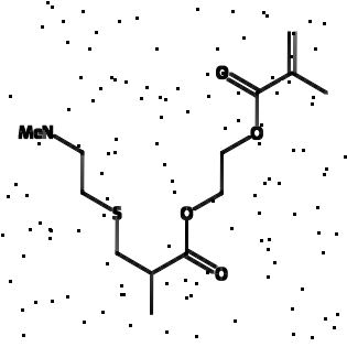 C=C(C)C(=O)OCCOC(=O)C(C)CSCCNC